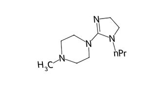 CCCN1CCN=C1N1CCN(C)CC1